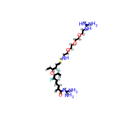 C=C/C(=C\C=C\SNCCOCCOCCOCCNC(=N)N)O/C(C(=C)F)=C(F)/C=C/C=C(\C)C(=O)N=C(N)N